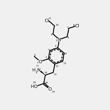 COc1cc(N(CCCl)CCCl)ccc1C[C@H](N)C(=O)O